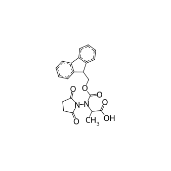 CC(C(=O)O)N(C(=O)OCC1c2ccccc2-c2ccccc21)N1C(=O)CCC1=O